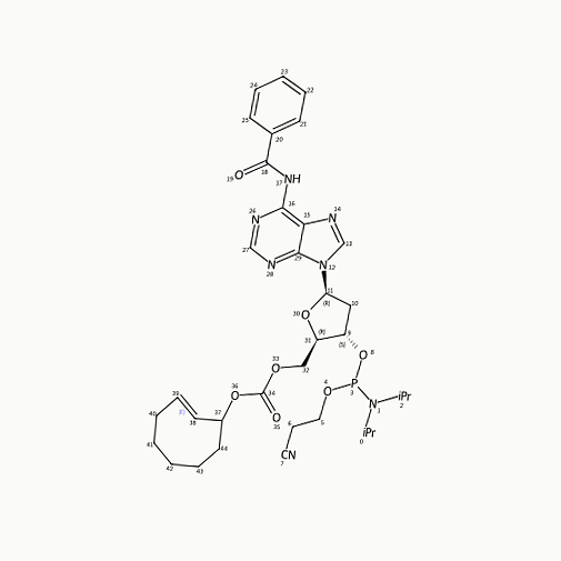 CC(C)N(C(C)C)P(OCCC#N)O[C@H]1C[C@H](n2cnc3c(NC(=O)c4ccccc4)ncnc32)O[C@@H]1COC(=O)OC1/C=C/CCCCC1